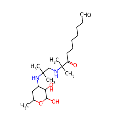 CC1CC(NC(C)(C)CNC(C)(C)C(=O)CCCCCCC=O)C(O)C(O)O1